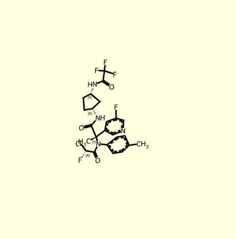 Cc1ccc(N(C(=O)[C@H](F)Cl)[C@](C)(C(=O)N[C@@H]2CC[C@H](NC(=O)C(F)(F)F)C2)c2cncc(F)c2)cc1